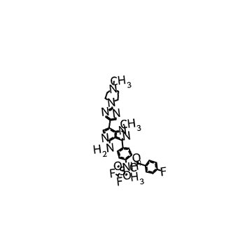 C[C@H](Oc1cc(-c2nn(C)c3c(-c4cnc(N5CCN(C)CC5)nc4)cnc(N)c23)ccc1NS(=O)(=O)C(F)F)c1ccc(F)cc1